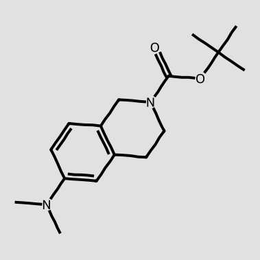 CN(C)c1ccc2c(c1)CCN(C(=O)OC(C)(C)C)C2